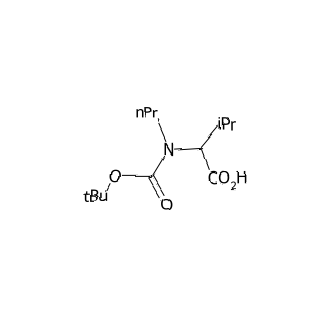 CCCN(C(=O)OC(C)(C)C)C(C(=O)O)C(C)C